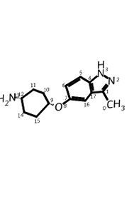 Cc1n[nH]c2ccc(O[C@H]3CC[C@@H](N)CC3)cc12